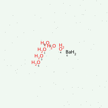 O.O.O.O.O.O.[BaH2]